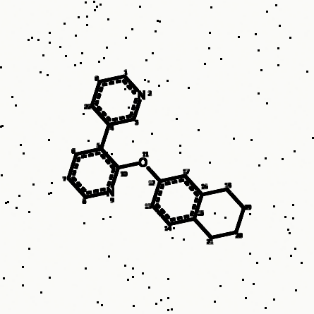 c1cncc(-c2cccnc2Oc2ccc3c(c2)CCCC3)c1